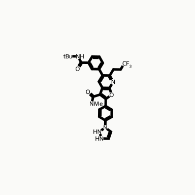 CNC(=O)c1c(-c2ccc(N3C=CNN3)cc2)oc2nc(CCC(F)(F)F)c(-c3cccc(C(=O)NC(C)(C)C)c3)cc12